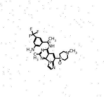 Cc1nc(N[C@H](C)c2cc(N)cc(C(F)(F)F)c2)c2cc(P3(=O)CCN(C)CC3)c3nccn3c2n1